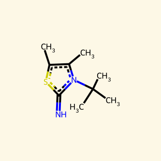 Cc1sc(=N)n(C(C)(C)C)c1C